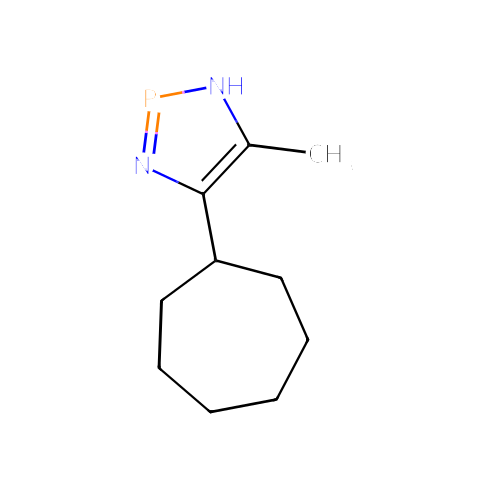 Cc1[nH]pnc1C1CCCCCC1